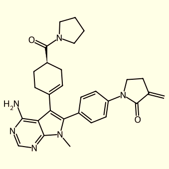 C=C1CCN(c2ccc(-c3c(C4=CC[C@H](C(=O)N5CCCC5)CC4)c4c(N)ncnc4n3C)cc2)C1=O